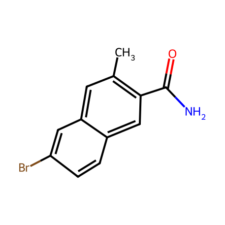 Cc1cc2cc(Br)ccc2cc1C(N)=O